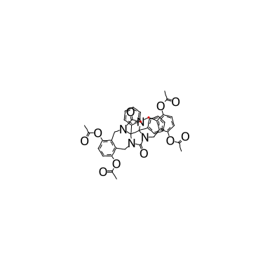 CC(=O)Oc1ccc(OC(C)=O)c2c1CN1C(=O)N3Cc4c(OC(C)=O)ccc(OC(C)=O)c4CN4C(=O)N(C2)C1(c1ccccc1)C34c1ccccc1